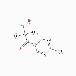 Cc1ccc(C(=O)C(C)(C)CBr)cc1